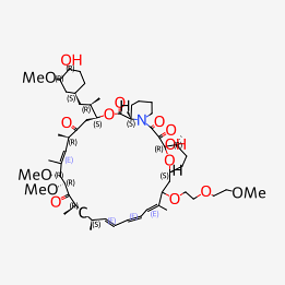 COCCOCCOC1C[C@@H]2CC[C@@H](C)[C@@](O)(O2)C(=O)C(=O)N2CCCC[C@H]2C(=O)O[C@H]([C@H](C)C[C@@H]2CC[C@@H](O)[C@H](OC)C2)CC(=O)[C@H](C)/C=C(\C)[C@@H](OC)[C@@H](OC)C(=O)[C@H](C)C[C@H](C)/C=C/C=C/C=C/1C